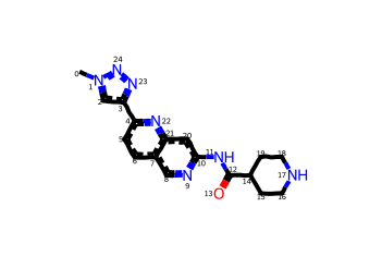 Cn1cc(-c2ccc3cnc(NC(=O)C4CCNCC4)cc3n2)nn1